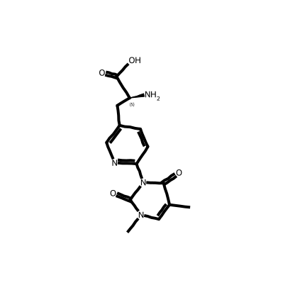 Cc1cn(C)c(=O)n(-c2ccc(C[C@H](N)C(=O)O)cn2)c1=O